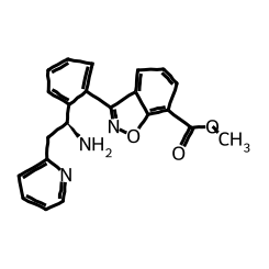 COC(=O)c1cccc2c(-c3ccccc3[C@@H](N)Cc3ccccn3)noc12